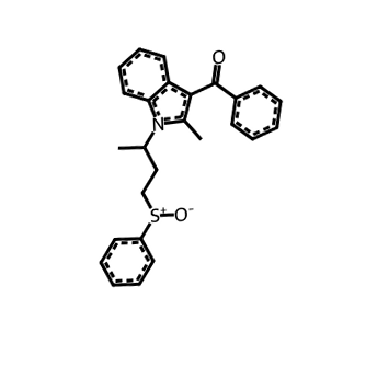 Cc1c(C(=O)c2ccccc2)c2ccccc2n1C(C)CC[S+]([O-])c1ccccc1